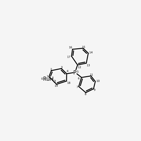 [RuH2].c1ccc(P(c2ccccc2)c2ccccc2)cc1